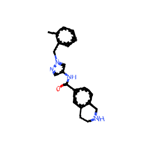 Cc1ccccc1Cn1cc(NC(=O)c2ccc3c(c2)CCNC3)cn1